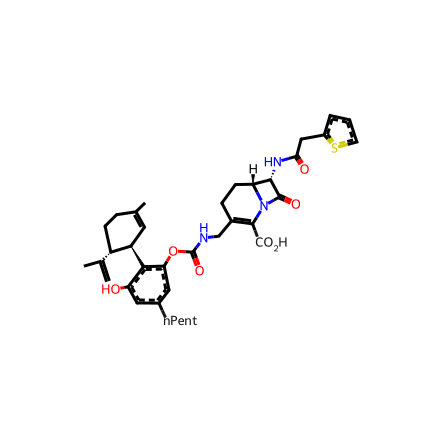 C=C(C)[C@@H]1CCC(C)=C[C@H]1c1c(O)cc(CCCCC)cc1OC(=O)NCC1=C(C(=O)O)N2C(=O)[C@@H](NC(=O)Cc3cccs3)[C@H]2CC1